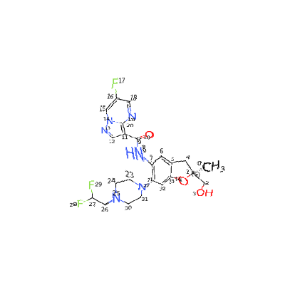 C[C@@]1(CO)Cc2cc(NC(=O)c3cnn4cc(F)cnc34)c(N3CCN(CC(F)F)CC3)cc2O1